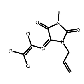 C=CCN1C(=O)N(C)C(=O)/C1=N\C(Cl)=C(Cl)Cl